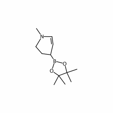 CN1C=CC(B2OC(C)(C)C(C)(C)O2)CC1